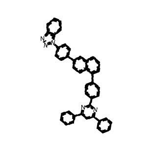 c1ccc(-c2cc(-c3ccccc3)nc(-c3ccc(-c4cccc5cc(-c6ccc(-n7nnc8ccccc87)cc6)ccc45)cc3)n2)cc1